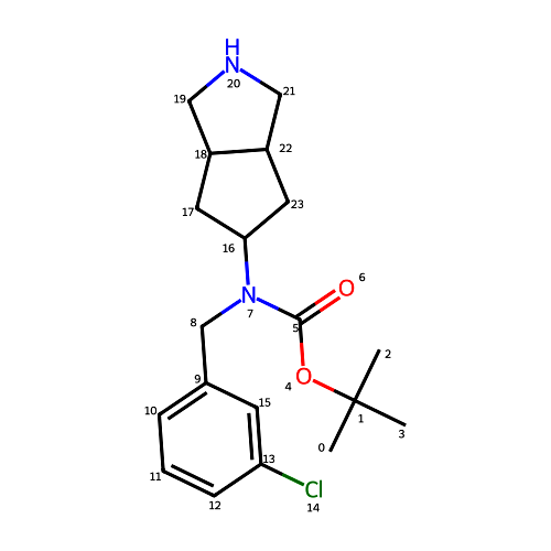 CC(C)(C)OC(=O)N(Cc1cccc(Cl)c1)C1CC2CNCC2C1